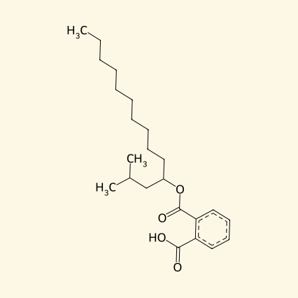 CCCCCCCCCCC(CC(C)C)OC(=O)c1ccccc1C(=O)O